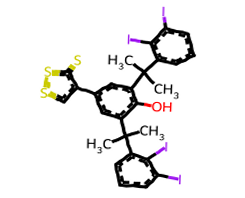 CC(C)(c1cc(-c2cssc2=S)cc(C(C)(C)c2cccc(I)c2I)c1O)c1cccc(I)c1I